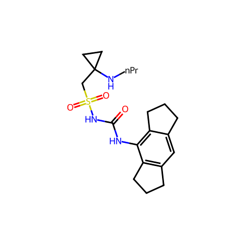 CCCNC1(CS(=O)(=O)NC(=O)Nc2c3c(cc4c2CCC4)CCC3)CC1